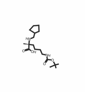 CC(C)(C)OC(=O)NCCCC[C@@](C)(NCC1CCCC1)C(=O)O